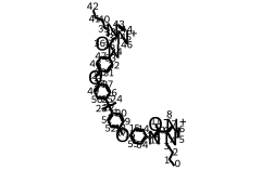 CCCCn1cc[n+](C)c1/C([O-])=N/c1ccc(Oc2ccc(C(C)(C)c3ccc(Oc4ccc(/N=C(\[O-])c5n(CCCC)cc[n+]5C)cc4)cc3)cc2)cc1